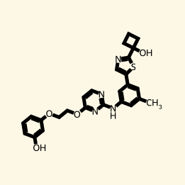 Cc1cc(Nc2nccc(OCCOc3cccc(O)c3)n2)cc(-c2cnc(C3(O)CCC3)s2)c1